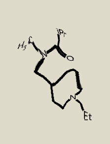 CCN1CCC(CN(C)C(=O)C(C)C)CC1